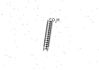 O=C(O)C(F)(F)C(F)(F)C(F)(F)C(F)(F)C(F)(F)C(F)(F)C(F)(F)C(F)(F)C(F)(F)C(F)(F)C(F)(F)C(F)(F)C(F)(F)C(F)F